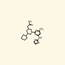 Cc1cc(Nc2nccs2)nc(N2CC(CC(=O)O)CC(C3CCCCC3)C2)n1